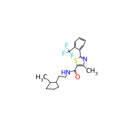 Cc1nc(-c2ccccc2C(F)(F)F)sc1C(=O)NCCC1CCCC1C